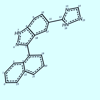 c1ccc2c(-c3n[nH]c4ccc(-c5ncn[nH]5)cc34)cccc2c1